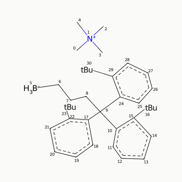 C[N+](C)(C)C.[BH3-]CCCC(c1ccccc1C(C)(C)C)(c1ccccc1C(C)(C)C)c1ccccc1C(C)(C)C